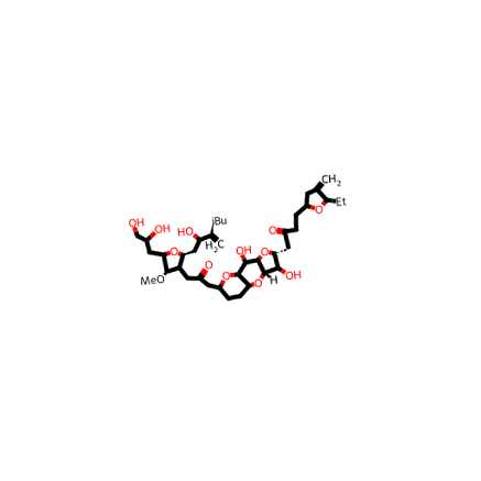 C=C1CC(CCC(=O)C[C@H]2OC3C(O)C4OC(CC(=O)CC5[C@@H](OC)C(CC(O)CO)O[C@H]5CC(O)C(=C)[C@H](C)CC)CCC4O[C@H]3C2O)OC1CC